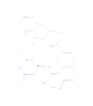 C=C1NC(=C)C(=Cc2ccc(N(C)Cc3ccc(/N=C/c4c(C)nc5ccccc5c4Cl)cc3)cc2)C(=C)N1